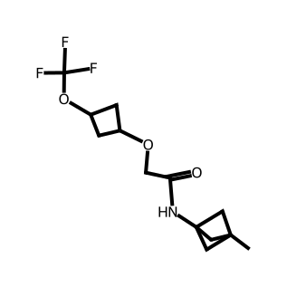 CC12CC(NC(=O)COC3CC(OC(F)(F)F)C3)(C1)C2